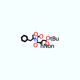 CCCCCCCCC[C@H](CC(=O)OC(C)(C)C)C(=O)N1C(=O)OCC1Cc1ccccc1